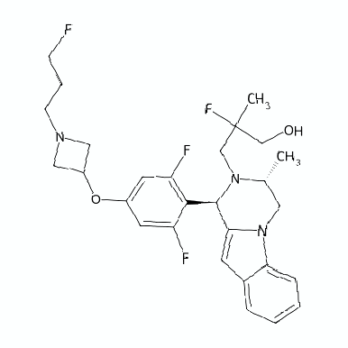 C[C@@H]1Cn2c(cc3ccccc32)[C@@H](c2c(F)cc(OC3CN(CCCF)C3)cc2F)N1CC(C)(F)CO